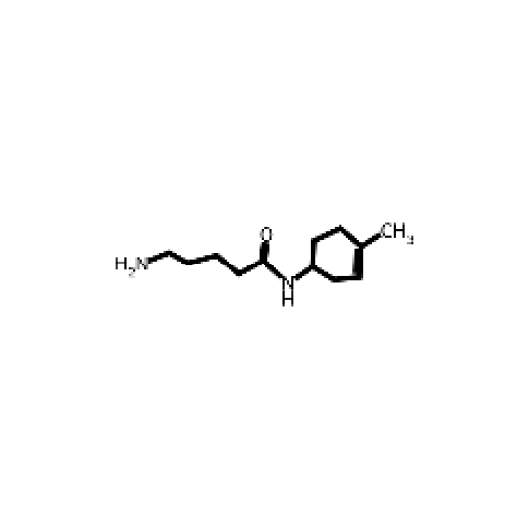 CC1=CCC(NC(=O)CCCCN)CC1